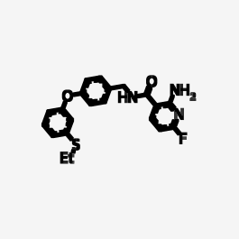 CCSc1cccc(Oc2ccc(CNC(=O)c3ccc(F)nc3N)cc2)c1